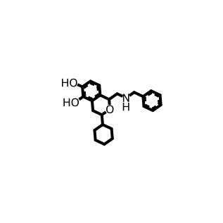 Oc1ccc2c(c1O)CC(C1CCCCC1)OC2CNCc1ccccc1